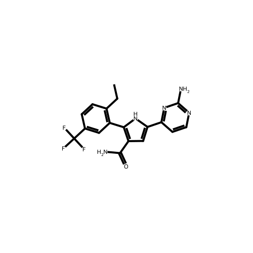 CCc1ccc(C(F)(F)F)cc1-c1[nH]c(-c2ccnc(N)n2)cc1C(N)=O